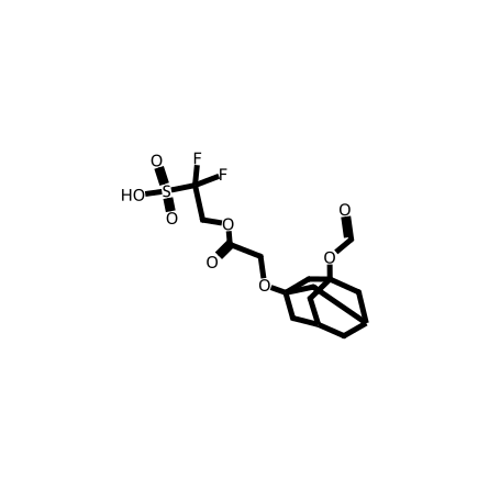 O=COC12CC3CC(C1)CC(OCC(=O)OCC(F)(F)S(=O)(=O)O)(C3)C2